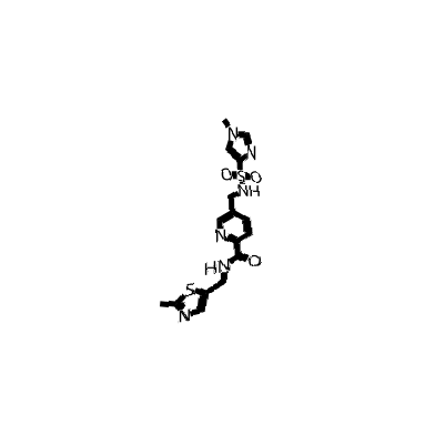 Cc1ncc(CNC(=O)c2ccc(CNS(=O)(=O)c3cn(C)cn3)cn2)s1